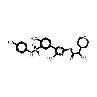 Cc1ccc(-c2sc(NC(=O)C(C)C3CCOCC3)nc2C)cc1S(=O)(=O)Nc1ccc(O)cc1